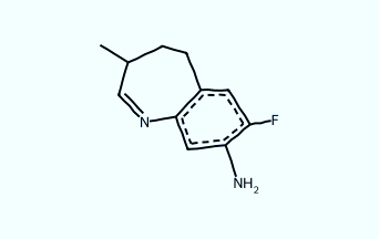 CC1C=Nc2cc(N)c(F)cc2CC1